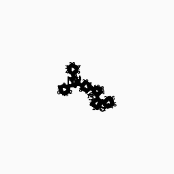 c1ccc(-c2cc(-c3ccc(-c4cccc5c4sc4ccc6sc7ccccc7c6c45)cc3)nc(-c3ccccc3)n2)cc1